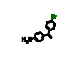 Bc1ccc(C(=C)c2ccc(Br)cc2)cc1